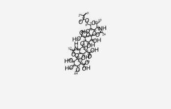 C=C(C)C(=O)OCC1OC(C)C(NC(C)=O)C(OC2OC(C(=O)O)C(OC3OC(C(=O)O)C(O)C(OC4OC(C(=O)O)C(OC)C(O)C4O)C3NC(C)=O)C(O)C2O)C1O